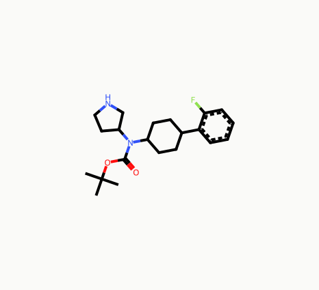 CC(C)(C)OC(=O)N(C1CCC(c2ccccc2F)CC1)C1CCNC1